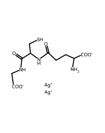 NC(CCC(=O)NC(CS)C(=O)NCC(=O)[O-])C(=O)[O-].[Ag+].[Ag+]